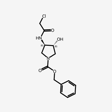 O=C(CCl)N[C@@H]1CN(C(=O)OCc2ccccc2)C[C@H]1O